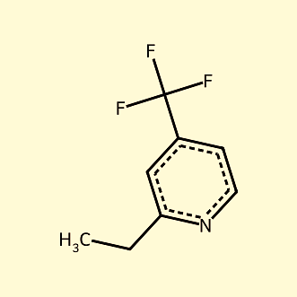 CCc1cc(C(F)(F)F)ccn1